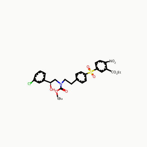 CCOC(=O)c1cc(S(=O)(=O)c2ccc(CCN(C[C@@H](O)c3cccc(Cl)c3)C(=O)OC(C)(C)C)cc2)ccc1[N+](=O)[O-]